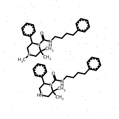 CC1(C)CNCC(c2ccccc2)N1C(=O)NCCCCc1ccccc1.CN1CC(c2ccccc2)N(C(=O)NCCCCc2ccccc2)C(C)(C)C1